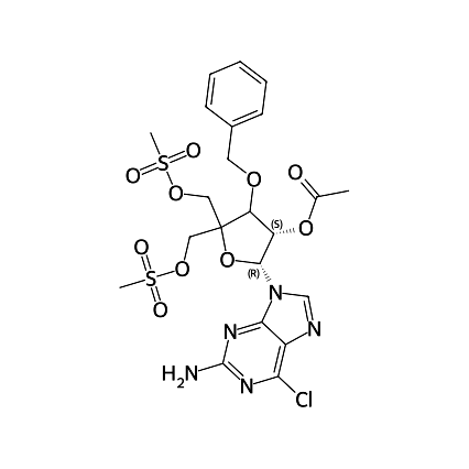 CC(=O)O[C@H]1C(OCc2ccccc2)C(COS(C)(=O)=O)(COS(C)(=O)=O)O[C@H]1n1cnc2c(Cl)nc(N)nc21